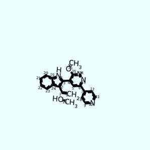 C=Cc1c(-c2cc(-c3ccncc3)nnc2OC)[nH]c2ccccc12.CO